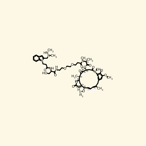 CNN(C)Cc1cc2ccccc2n1CCC(=O)NC(CO)C(=O)NCCOCCOCCC(=O)N(C)[C@@H](C)C(=O)O[C@H]1CC(=O)N(C)c2cc(cc(OC)c2Cl)C/C(C)=C/C=C/[C@@H](OC)[C@@]2(O)C[C@H](OC(=O)N2)[C@@H](C)C2O[C@]21C